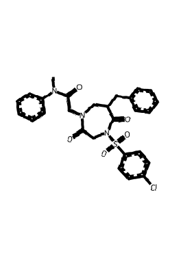 CN(C(=O)CN1CC(Cc2ccccc2)C(=O)N(S(=O)(=O)c2ccc(Cl)cc2)CC1=O)c1ccccc1